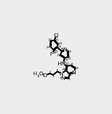 COCCCn1ncc2nccc(Nc3ccnc(-c4cc(Cl)ccc4F)c3)c21